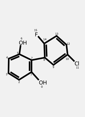 Oc1cccc(O)c1-c1cc(Cl)ccc1F